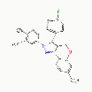 [C-]#[N+]c1ccc(N2N=C3c4ccc(C(=O)O)cc4OCC3C2c2ccc(F)cc2)cc1C